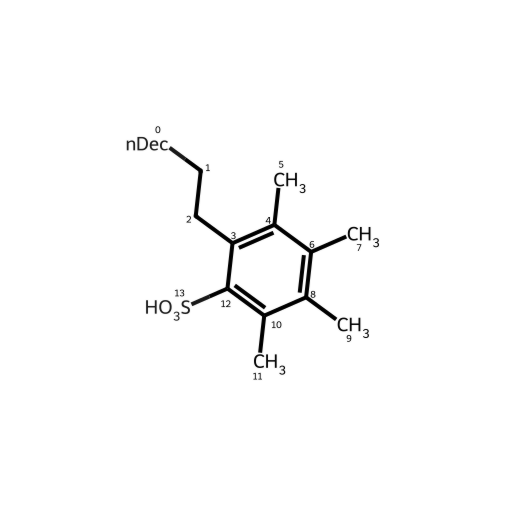 CCCCCCCCCCCCc1c(C)c(C)c(C)c(C)c1S(=O)(=O)O